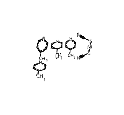 Cc1ccncc1.Cc1ccncc1.Cc1ccncc1.Cc1ccncc1.N#C[S][Ni][S]C#N